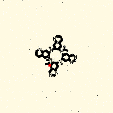 CC(C)P1c2cc3cccnc3cc2N(C)c2cc3ncccc3cc2[PH](C)(C(C)C)c2cc3cncnc3cc2N(C)c2cc3ncncc3cc21